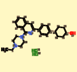 CCN1CCN(c2nc(-c3ccc([C@H]4CC[C@@H](O)CC4)cc3)cc3ccccc23)CC1.Cl.Cl